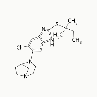 CCC(C)(C)Sc1nc2cc(Cl)c(N3CCN4CCC3C4)cc2[nH]1